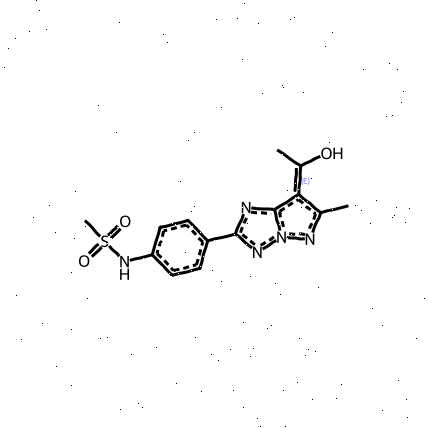 C/C(O)=c1/c(C)nn2nc(-c3ccc(NS(C)(=O)=O)cc3)nc12